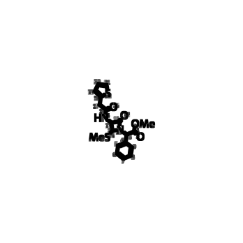 COC(=O)C(c1ccccc1)N1C(=O)C(NC(=O)Cc2cccs2)C1SC